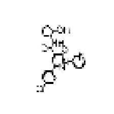 O=C(N[C@@H]1CCC[C@H]1O)c1cc(-c2ccc(Cl)cc2)nn(-c2cccnc2)c1=O